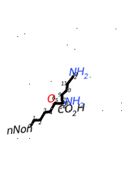 CCCCCCCCCCCCCC(=O)C(N)(CCCCN)C(=O)O